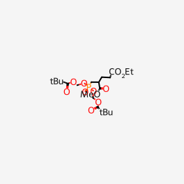 CCOC(=O)CCC(CP(=O)(OCOC(=O)C(C)(C)C)OCOC(=O)C(C)(C)C)C(=O)OC